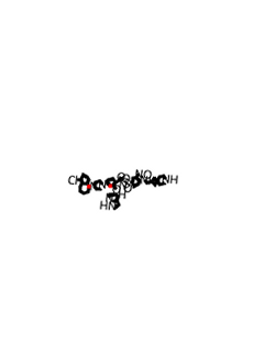 O=C(NS(=O)(=O)c1ccc(NCC2CC3(CCNCC3)C2)c([N+](=O)[O-])c1)c1ccc(N2CCN([C@@H]3CCCCc4c(Cl)cccc43)CC2)cc1Oc1cnc2[nH]ccc2c1